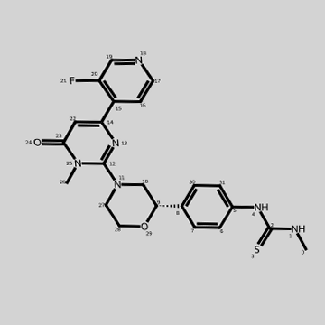 CNC(=S)Nc1ccc([C@H]2CN(c3nc(-c4ccncc4F)cc(=O)n3C)CCO2)cc1